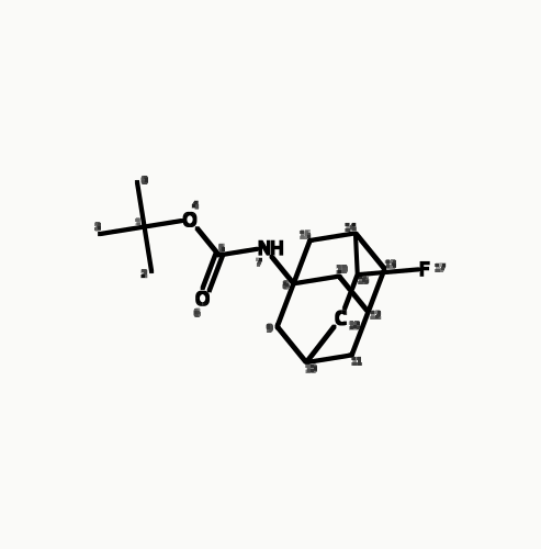 CC(C)(C)OC(=O)NC12CC3CC(CC(C1)C(F)C3)C2